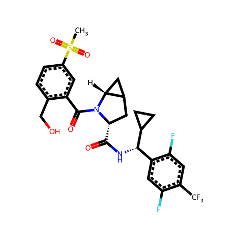 CS(=O)(=O)c1ccc(CO)c(C(=O)N2[C@@H](C(=O)N[C@@H](c3cc(F)c(C(F)(F)F)cc3F)C3CC3)CC3C[C@H]32)c1